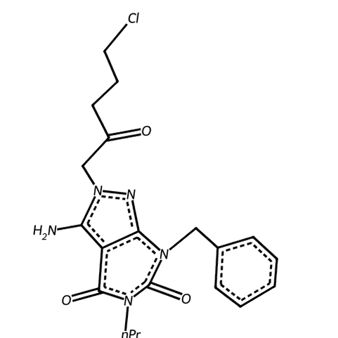 CCCn1c(=O)c2c(N)n(CC(=O)CCCCl)nc2n(Cc2ccccc2)c1=O